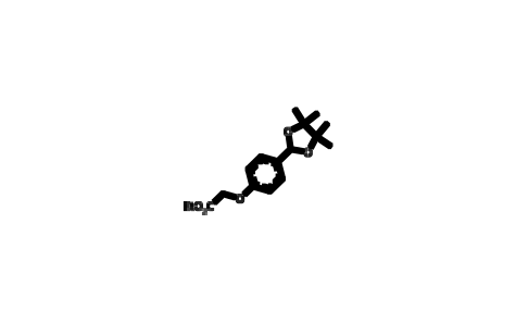 CCOC(=O)COc1ccc(C2OC(C)(C)C(C)(C)O2)cc1